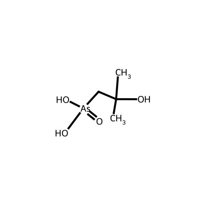 CC(C)(O)C[As](=O)(O)O